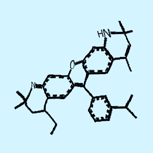 CCC1CC(C)(C)N=c2cc3c(cc21)=C(c1cccc(C(C)C)c1)c1cc2c(cc1O3)NC(C)(C)C=C2C